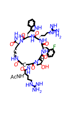 CC(=O)N[C@@H](CCCNC(=N)N)C(=O)N[C@H]1CCC(=O)NCCC[C@@H](C(N)=O)NC(=O)[C@H](Cc2c[nH]c3ccccc23)NC(=O)[C@H](CCCNC(=N)N)NC(=O)[C@@H](Cc2ccccc2F)NC(=O)[C@@H]2C[C@@H](O)CN2C1=O